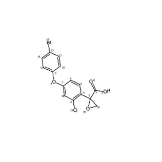 O=C(O)C1(c2ccc(Oc3ccc(Br)cc3)cc2Cl)CO1